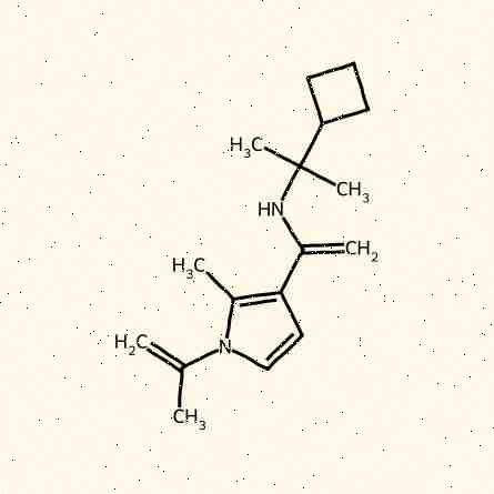 C=C(NC(C)(C)C1CCC1)c1ccn(C(=C)C)c1C